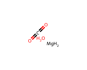 O.O=C=O.[MgH2]